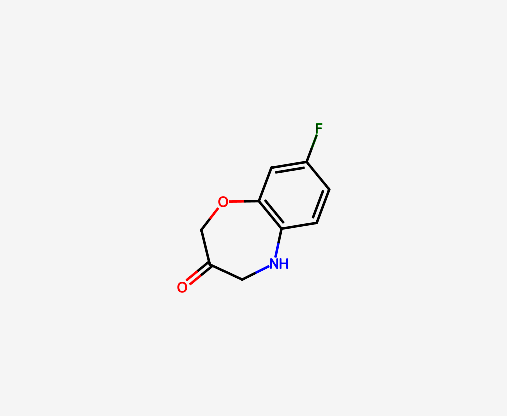 O=C1CNc2ccc(F)cc2OC1